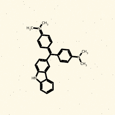 CN(C)c1ccc(C(=C2C=CC(=[N+](C)C)C=C2)c2ccc3[nH]c4ccccc4c3c2)cc1